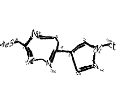 CCn1cc(-c2cnc(SC)nn2)cn1